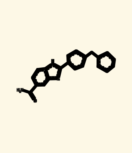 NC(=O)c1ccc2[nH]c(-c3ccc(Cc4ccccc4)cc3)nc2c1